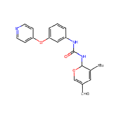 CC(C)(C)C1=CC(C=O)=COC1NC(=O)Nc1cccc(Oc2ccncc2)c1